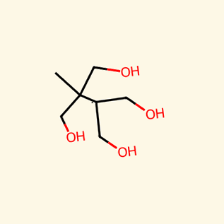 CC(CO)(CO)[C](CO)CO